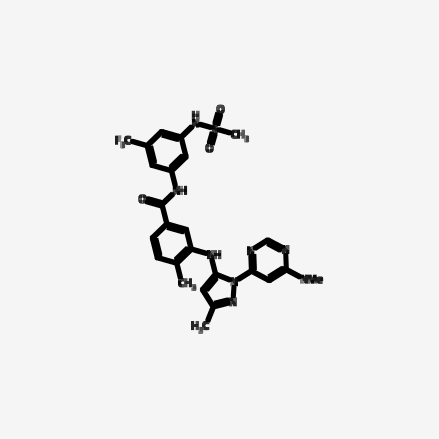 CNc1cc(-n2nc(C)cc2Nc2cc(C(=O)Nc3cc(NS(C)(=O)=O)cc(C(F)(F)F)c3)ccc2C)ncn1